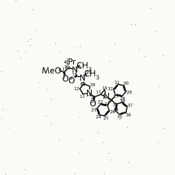 COC(=O)[C@H](C(C)C)N(C)C(=O)N(C)[C@H]1CCN(C(=O)C2CN2C(c2ccccc2)(c2ccccc2)c2ccccc2)C1